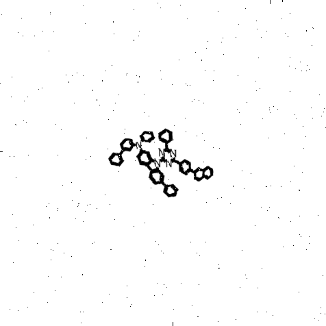 c1ccc(-c2cccc(N(c3ccccc3)c3ccc4c5ccc(-c6ccccc6)cc5n(-c5nc(-c6ccccc6)nc(-c6ccc(-c7ccc8ccccc8c7)cc6)n5)c4c3)c2)cc1